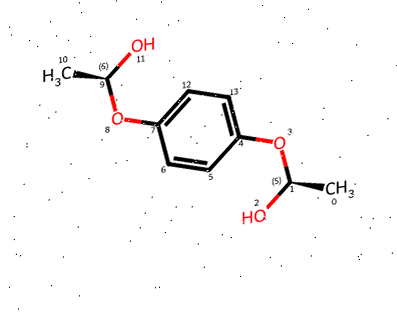 C[C@@H](O)Oc1ccc(O[C@@H](C)O)cc1